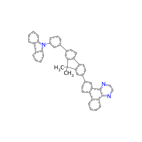 CC1(C)c2cc(-c3cccc(-n4c5ccccc5c5ccccc54)c3)ccc2-c2ccc(-c3ccc4c5ccccc5c5nccnc5c4c3)cc21